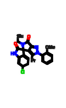 COc1ccccc1-n1nc2c(c1C(C)C)C1(C(=O)NC3=CC(Cl)CC=C31)N(CC(C)(C)C)C2=O